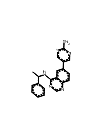 CC(Nc1ncnc2ccc(-c3cnc(N)nc3)cc12)c1ccccc1